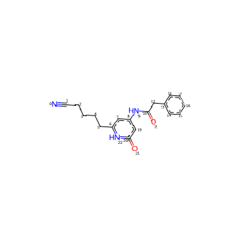 N#CCCCCc1cc(NC(=O)Cc2ccccc2)cc(=O)[nH]1